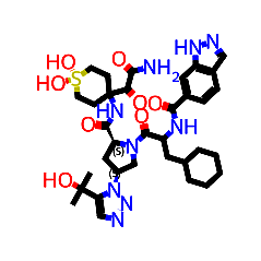 CC(C)(O)c1cnnn1[C@H]1C[C@@H](C(=O)NC2(C(=O)C(N)=O)CCS(O)(O)CC2)N(C(=O)C(CC2CCCCC2)NC(=O)c2ccc3cn[nH]c3c2)C1